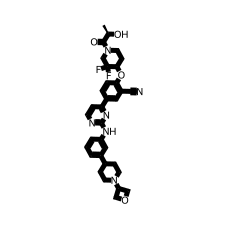 C[C@@H](O)C(=O)N1CCC(Oc2ccc(-c3ccnc(Nc4cccc(C5CCN(C6COC6)CC5)c4)n3)cc2C#N)C(F)(F)C1